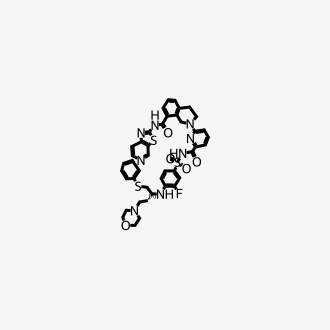 O=C(NS(=O)(=O)c1ccc(N[C@H](CCN2CCOCC2)CSc2ccccc2)c(F)c1)c1cccc(N2CCc3cccc(C(=O)Nc4nc5ccncc5s4)c3C2)n1